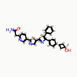 C[C@]1(O)C[C@H](c2ccc(-c3nc(-c4cnc(-c5ccc(CC(N)=O)nc5)s4)sc3-c3ccccc3)cc2)C1